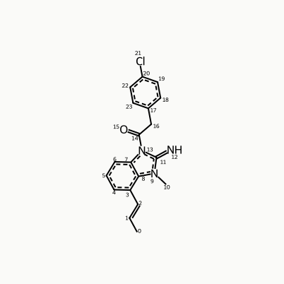 CC=Cc1cccc2c1n(C)c(=N)n2C(=O)Cc1ccc(Cl)cc1